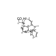 C/C=C\NC(C)C1=C=CCN(CC(=O)O)c2ncnc(N)c21